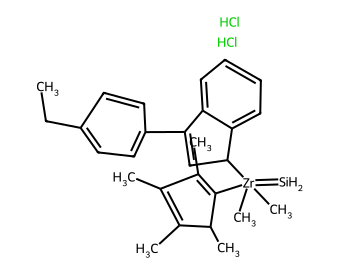 CCc1ccc(C2=C[CH]([Zr]([CH3])([CH3])(=[SiH2])[C]3=C(C)C(C)=C(C)C3C)c3ccccc32)cc1.Cl.Cl